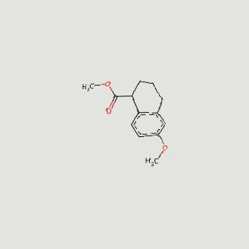 COC(=O)C1CCCc2cc(OC)ccc21